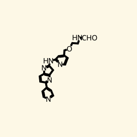 O=CNCCOCc1ccnc(NC2=Nc3ccc(-c4ccncc4)nc3C2)c1